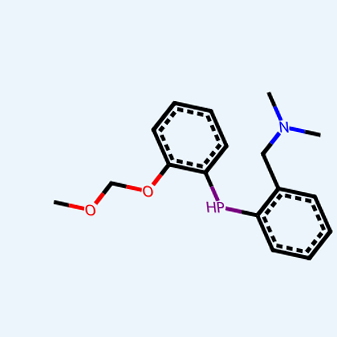 COCOc1ccccc1Pc1ccccc1CN(C)C